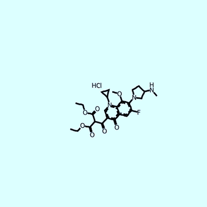 CCOC(=O)C(C(=O)OCC)C(=O)c1cn(C2CC2)c2c(OC)c(N3CCC(NC)C3)c(F)cc2c1=O.Cl